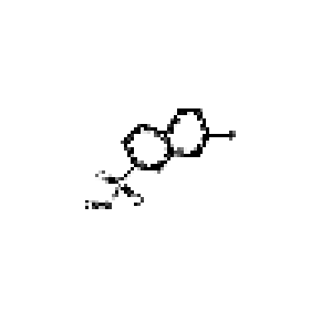 [CH2]OS(=O)(=O)c1ccc2ccc(F)cc2c1